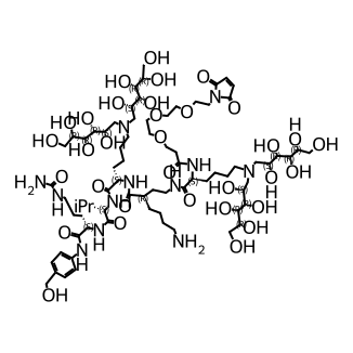 CC(C)[C@H](NC(=O)[C@H](CCCCN(C[C@H](O)[C@@H](O)[C@H](O)[C@H](O)CO)C[C@H](O)[C@@H](O)[C@H](O)[C@H](O)CO)NC(=O)[C@H](CCCCN)CCNC(=O)[C@H](CCCCN(C[C@H](O)[C@@H](O)[C@H](O)[C@H](O)CO)C[C@H](O)[C@@H](O)[C@H](O)[C@H](O)CO)NC(=O)CCOCCOCCOCCN1C(=O)C=CC1=O)C(=O)N[C@@H](CCCNC(N)=O)C(=O)Nc1ccc(CO)cc1